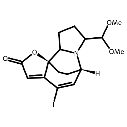 COC(OC)C1CCC2N1[C@@H]1C=C(I)C3=CC(=O)O[C@@]32CC1